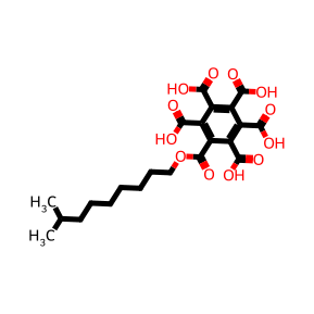 CC(C)CCCCCCCOC(=O)c1c(C(=O)O)c(C(=O)O)c(C(=O)O)c(C(=O)O)c1C(=O)O